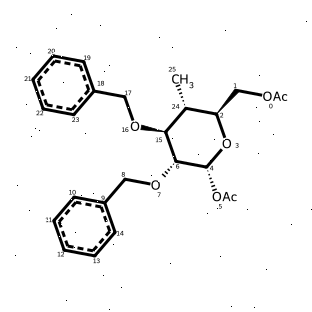 CC(=O)OC[C@H]1O[C@H](OC(C)=O)[C@H](OCc2ccccc2)[C@@H](OCc2ccccc2)[C@@H]1C